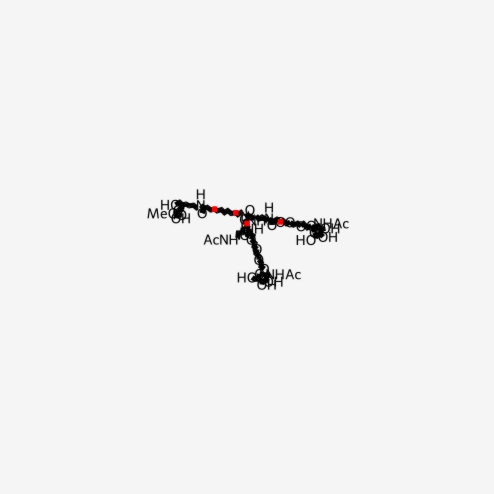 COP(=O)(O)OCC(CO)CCCCNC(=O)CCCCCCCCCCCNC(=O)[C@H](CCCCNC(=O)COCCOCCOCCOC1OC(CO)C(O)C(O)C1NC(C)=O)NC(=O)[C@H](CCCCNC(C)=O)NC(=O)COCCOCCOCCOC1OC(CO)C(O)C(O)C1NC(C)=O